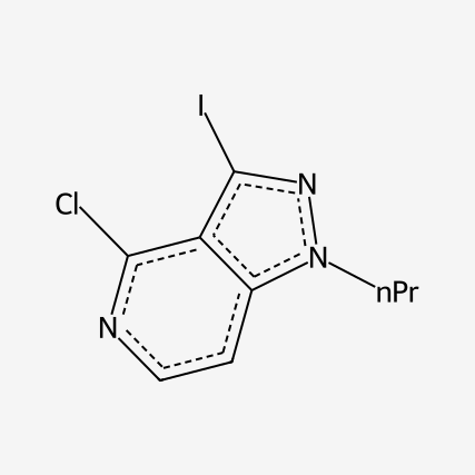 CCCn1nc(I)c2c(Cl)nccc21